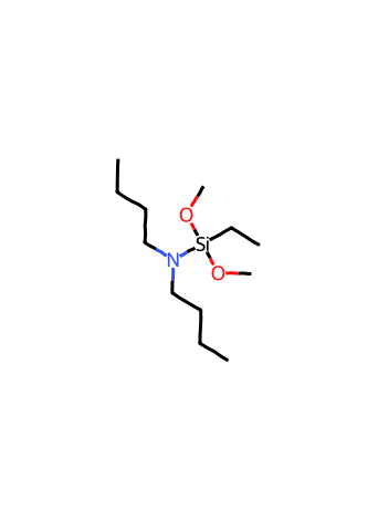 CCCCN(CCCC)[Si](CC)(OC)OC